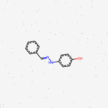 Oc1ccc(N/N=C/c2ccccc2)cc1